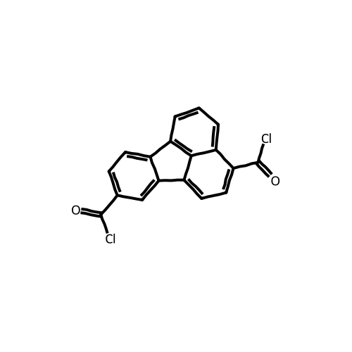 O=C(Cl)c1ccc2c(c1)-c1ccc(C(=O)Cl)c3cccc-2c13